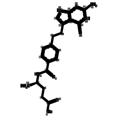 CC(C)(C)C(=O)CC[C@H](NC(=O)c1ccc(CCc2c[nH]c3nc(N)[nH]c(=O)c23)cc1)C(=O)O